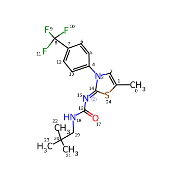 Cc1cn(-c2ccc(C(F)(F)F)cc2)/c(=N/C(=O)NCC(C)(C)C)s1